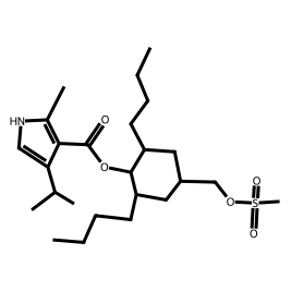 CCCCC1CC(COS(C)(=O)=O)CC(CCCC)C1OC(=O)c1c(C(C)C)c[nH]c1C